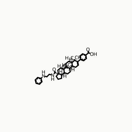 CC1(C)C(c2ccc(C(=O)O)cc2)=CC[C@]2(C)[C@H]3CC[C@@H]4[C@H]5CCC[C@]5(C(=O)NCCNc5ccccc5)CC[C@@]4(C)[C@]3(C)CC[C@@H]12